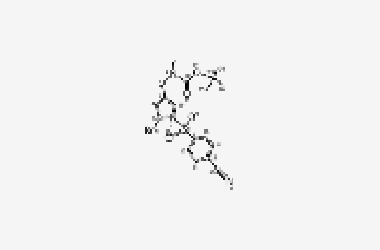 CN(Cc1cc(Br)n(S(=O)(=O)c2ccc(C#N)cc2)c1)C(=O)OC(C)(C)C